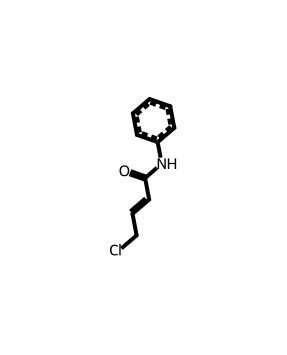 O=C(C=CCCl)Nc1ccccc1